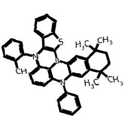 Cc1ccccc1N1c2cccc3c2B(c2cc4c(cc2N3c2ccccc2)C(C)(C)CCC4(C)C)c2sc3ccccc3c21